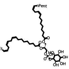 CC/C=C\C/C=C\C/C=C\CCCCCCCC(=O)O[C@H](COC(=O)CCCCCCC/C=C\C/C=C\CCCCC)COP(=O)(O)OC1[C@H](O)[C@H](O)C(O)[C@H](O)[C@H]1O